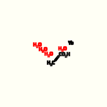 CC(=O)O.O.O.O.O.[Yb]